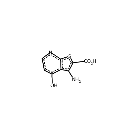 Nc1c(C(=O)O)sc2nccc(O)c12